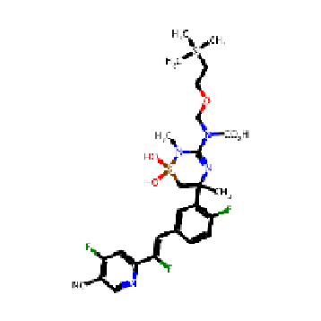 CN1C(N(COCC[Si](C)(C)C)C(=O)O)=NC(C)(c2cc(/C=C(\F)c3cc(F)c(C#N)cn3)ccc2F)CS1(O)O